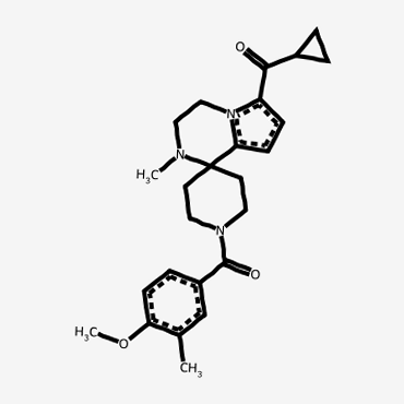 COc1ccc(C(=O)N2CCC3(CC2)c2ccc(C(=O)C4CC4)n2CCN3C)cc1C